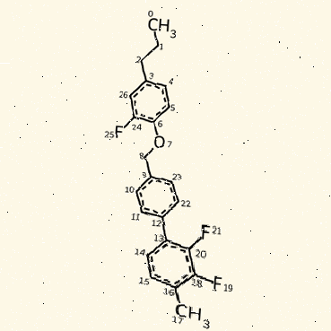 CCCc1ccc(OCc2ccc(-c3ccc(C)c(F)c3F)cc2)c(F)c1